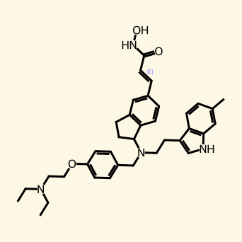 CCN(CC)CCOc1ccc(CN(CCc2c[nH]c3cc(C)ccc23)C2CCc3cc(/C=C/C(=O)NO)ccc32)cc1